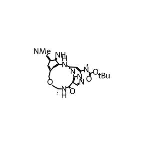 CN/C=C1/C=C2C=C(Nc3cc(N(C)C(=O)OC(C)(C)C)n4ncc(c4n3)C(=O)N[C@H](C)COC2)C1=N